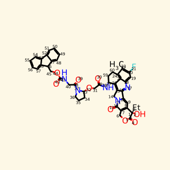 CC[C@@]1(O)C(=O)OCc2c1cc1n(c2=O)Cc2c-1nc1cc(F)c(C)c3c1c2[C@@H](NC(=O)COC1CCCN1C(=O)CNC(=O)OCC1c2ccccc2-c2ccccc21)CC3